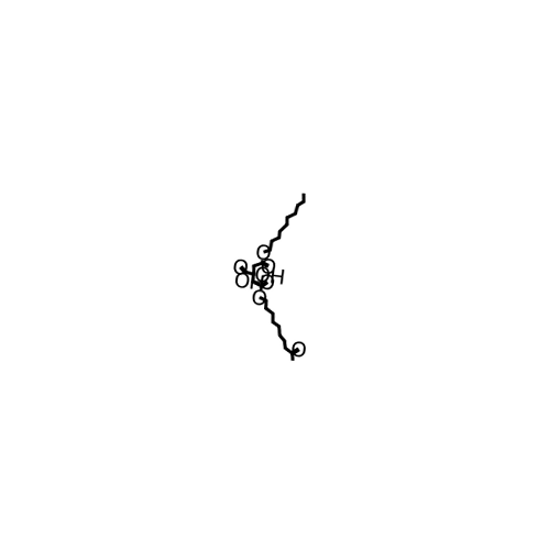 CCCCCCCCCCOC(=O)CC(O)(CC(=O)OCCCCCCCCC(C)=O)C(=O)O